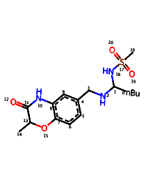 CCCCC(NCc1ccc2c(c1)NC(=O)C(C)O2)NS(C)(=O)=O